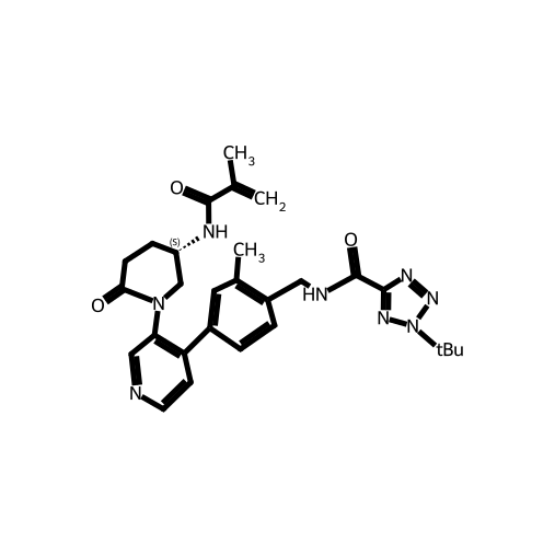 C=C(C)C(=O)N[C@H]1CCC(=O)N(c2cnccc2-c2ccc(CNC(=O)c3nnn(C(C)(C)C)n3)c(C)c2)C1